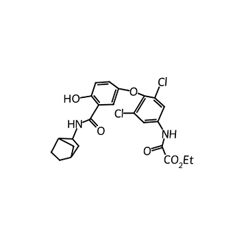 CCOC(=O)C(=O)Nc1cc(Cl)c(Oc2ccc(O)c(C(=O)NC3CC4CCC3C4)c2)c(Cl)c1